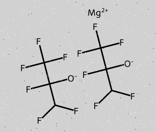 [Mg+2].[O-]C(F)(C(F)F)C(F)(F)F.[O-]C(F)(C(F)F)C(F)(F)F